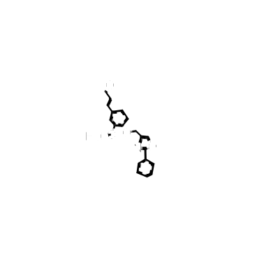 COc1cc(C=CC=O)ccc1OCc1coc(-c2ccccc2)n1